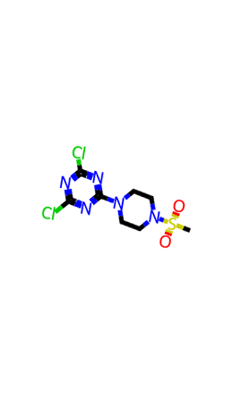 CS(=O)(=O)N1CCN(c2nc(Cl)nc(Cl)n2)CC1